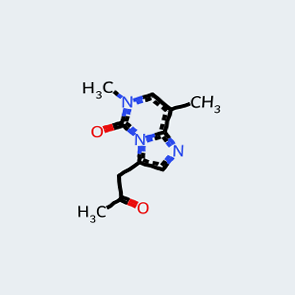 CC(=O)Cc1cnc2c(C)cn(C)c(=O)n12